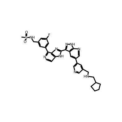 CS(=O)(=O)NCc1cc(F)cc(-c2nccc3[nH]c(-c4n[nH]c5ncc(-c6cncc(CNCC7CCCC7)c6)cc45)nc23)c1